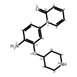 Nc1ccc(-n2ccccc2=O)cc1OC1CCNCC1